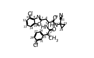 C[C@H](C(=O)NC(Cc1nc2c(Cl)cccc2o1)C(=O)NC1(C#N)CC1)c1cccc(Cl)c1